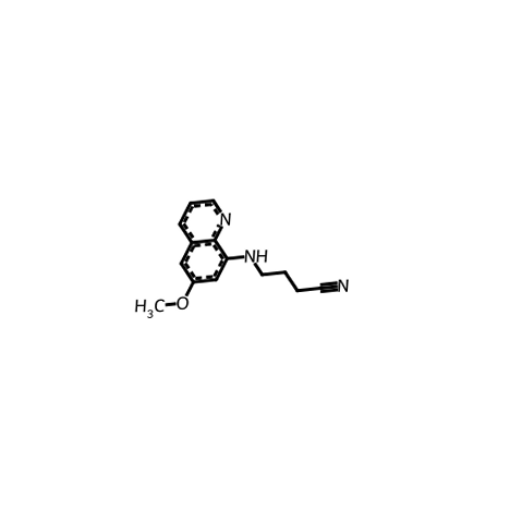 COc1cc(NCCCC#N)c2ncccc2c1